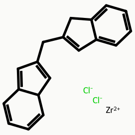 C1=CC2=CC(CC3=Cc4ccccc4C3)=CC2C=C1.[Cl-].[Cl-].[Zr+2]